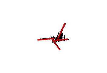 CCCCCCCCCCCCCCCCCCN(CCCC)CC(O)CN(CCCCCCCCCCCCCC)CCCCN(CCCCCCCCCCCCCC)CC(O)CNCCCC(=O)OCCCCCCCCCCCCCCC